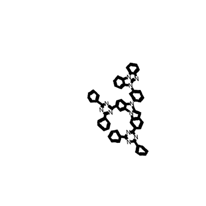 c1ccc(-c2nc(-c3ccccc3)nc(-c3ccc4cc5n(-c6cccc(-n7c8ccccc8n8c9ccccc9nc78)c6)c6ccc(-c7nc(-c8ccccc8)nc(-c8ccccc8)n7)cc6n5c4c3)n2)cc1